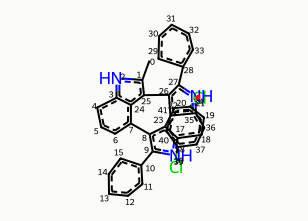 Cc1[nH]c2cccc(-c3c(-c4ccccc4)[nH]c4ccc(Cl)cc34)c2c1-c1c(-c2ccccc2)[nH]c2ccc(Cl)cc12